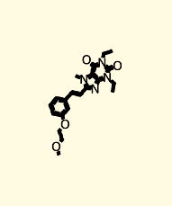 CCn1c(=O)c2c(nc(C=Cc3cccc(OCCOC)c3)n2C)n(CC)c1=O